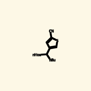 CCCCCCC(CCCC)c1csc(C#N)c1